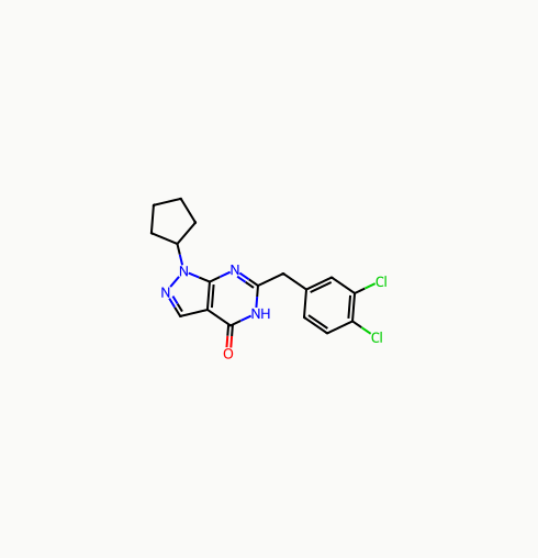 O=c1[nH]c(Cc2ccc(Cl)c(Cl)c2)nc2c1cnn2C1CCCC1